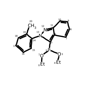 CCOP(OCC)c1c2ccccc2nn1-c1ccccc1C